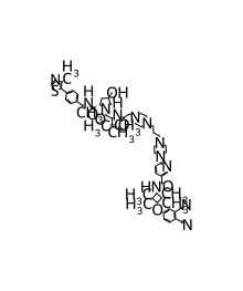 Cc1ncsc1-c1ccc([C@H](C)NC(=O)[C@@H]2C[C@@H](O)CN2C(=O)[C@@H](NC(=O)CN2CCN(CCCN3CCN(c4ccc(C(=O)NC5C(C)(C)C(Oc6ccc(C#N)c(C#N)c6)C5(C)C)cn4)CC3)CC2)C(C)(C)C)cc1